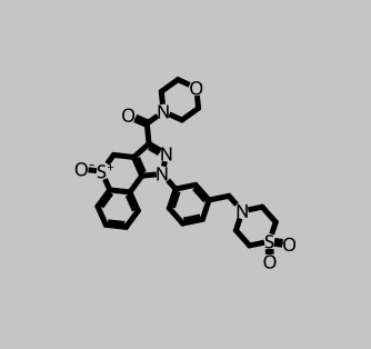 O=C(c1nn(-c2cccc(CN3CCS(=O)(=O)CC3)c2)c2c1C[S+]([O-])c1ccccc1-2)N1CCOCC1